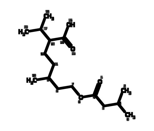 CC(C)CC(=O)OCCC(C)CCC(C(=O)O)C(C)C